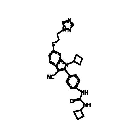 N#Cc1c(-c2ccc(NC(=O)NC3CCC3)cc2)n(C2CCC2)c2cc(SCCn3cncn3)ccc12